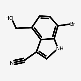 N#Cc1c[nH]c2c(Br)ccc(CO)c12